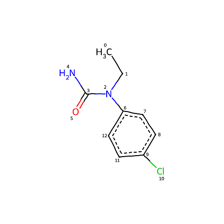 CCN(C(N)=O)c1ccc(Cl)cc1